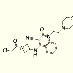 N#Cc1c(NC2CN(C(=O)CCl)C2)c2ccccc2n(CCN2CCOCC2)c1=O